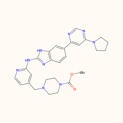 CC(C)(C)OC(=O)N1CCN(Cc2ccnc(Nc3nc4ccc(-c5cc(N6CCCC6)ncn5)cc4[nH]3)c2)CC1